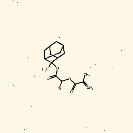 C=C(C)C(=O)OC(CC)C(=O)OC1(C)C2CC3CC(C2)CC1C3